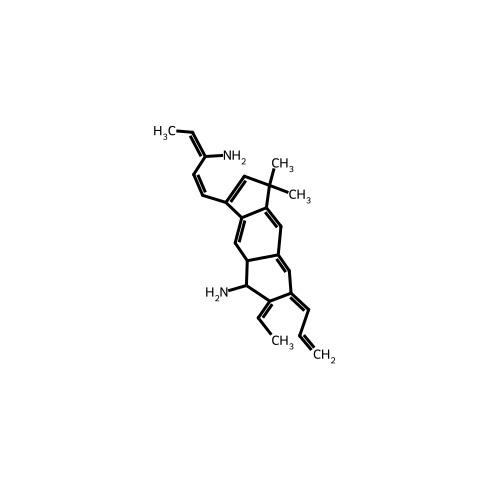 C=C/C=C1/C=C2C=C3C(=CC2C(N)/C1=C/C)C(/C=C\C(N)=C/C)=CC3(C)C